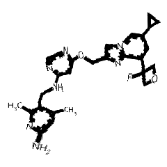 Cc1cc(N)nc(C)c1CNc1cc(OCc2cn3cc(C4CC4)cc(C4(F)COC4)c3n2)ncn1